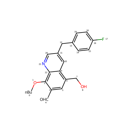 CCCCOc1c(C=O)cc(CO)c2cc(Cc3ccc(F)cc3)cnc12